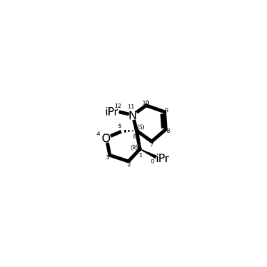 CC(C)[C@H]1CCOC[C@]12CC=CCN2C(C)C